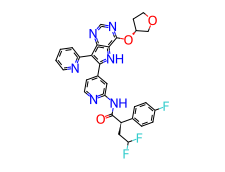 O=C(Nc1cc(-c2[nH]c3c(O[C@H]4CCOC4)ncnc3c2-c2ccccn2)ccn1)[C@H](CC(F)F)c1ccc(F)cc1